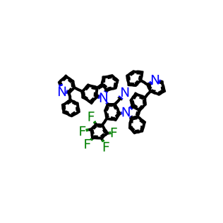 N#Cc1c(-n2c3ccccc3c3cc(-c4cccnc4-c4ccccc4)ccc32)cc(-c2c(F)c(F)c(F)c(F)c2F)cc1-n1c2ccccc2c2cc(-c3cccnc3-c3ccccc3)ccc21